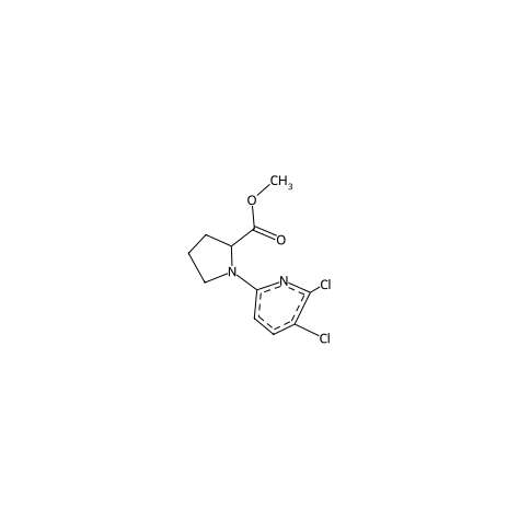 COC(=O)C1CCCN1c1ccc(Cl)c(Cl)n1